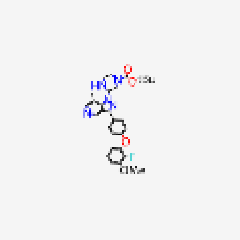 COc1cccc(Oc2ccc(-c3nn([C@@H]4CN(C(=O)OC(C)(C)C)CCN4)c4c(C)cncc34)cc2)c1F